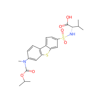 CC(C)OC(=O)N(C)c1ccc2c(c1)sc1cc(S(=O)(=O)N[C@H](C(=O)O)C(C)C)ccc12